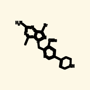 COc1cc(C2=CCNCC2)cnc1Cn1nc(Br)c2nc(N)nc(C)c21